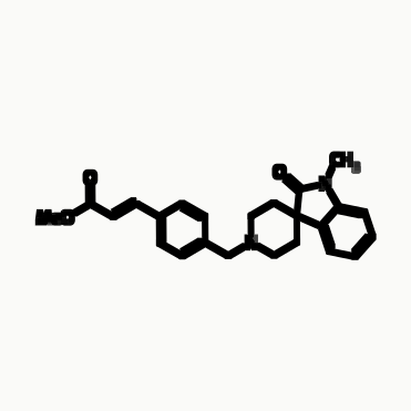 COC(=O)/C=C/c1ccc(CN2CCC3(CC2)C(=O)N(C)c2ccccc23)cc1